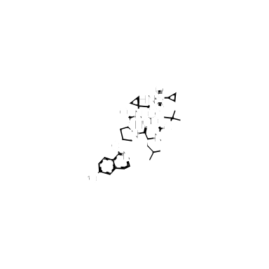 COc1ccc2c(O[C@@H]3C[C@@H](C(=O)NC4(C(=O)NS(=O)(=O)C5CC5)CC4)N(C(=O)[C@H](CC(C)C)N(C)C(=O)OC(C)(C)C)C3)nccc2c1